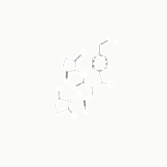 C=Cc1ccc(C(S)C(CC(=O)ON2C(=O)CCC2=O)C(=O)ON2C(=O)CCC2=O)cc1